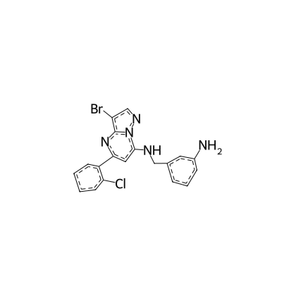 Nc1cccc(CNc2cc(-c3ccccc3Cl)nc3c(Br)cnn23)c1